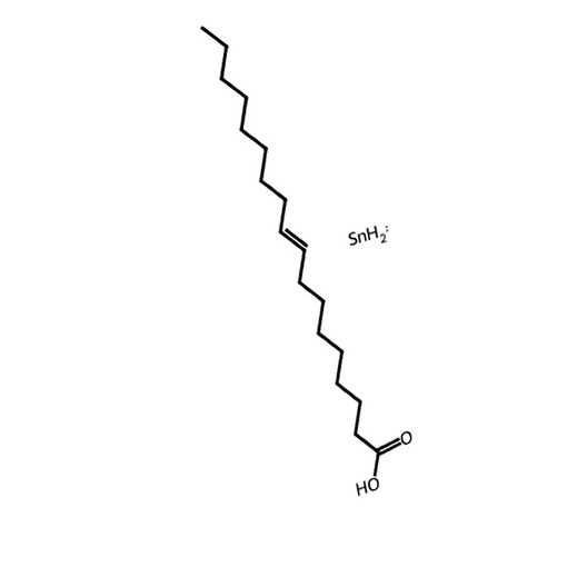 CCCCCCCCC=CCCCCCCCC(=O)O.[SnH2]